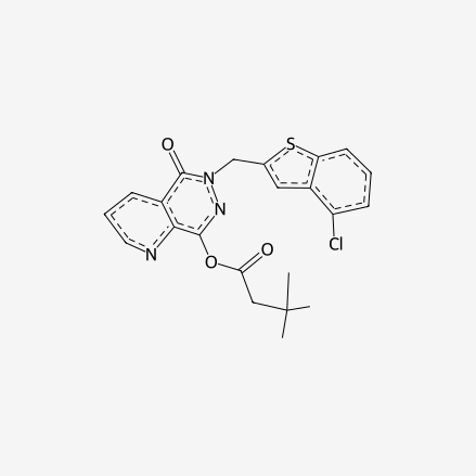 CC(C)(C)CC(=O)Oc1nn(Cc2cc3c(Cl)cccc3s2)c(=O)c2cccnc12